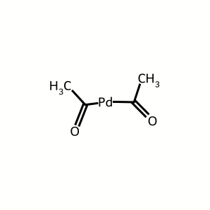 C[C](=O)[Pd][C](C)=O